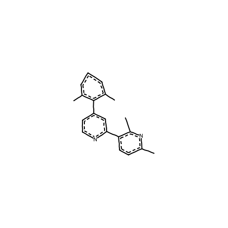 Cc1ccc(-c2cc(-c3c(C)cccc3C)ccn2)c(C)n1